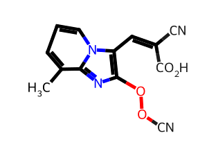 Cc1cccn2c(C=C(C#N)C(=O)O)c(OOC#N)nc12